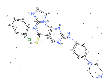 CN1CCN(c2ccc(Nc3ncc4c(=S)n(-c5ccccc5Cl)c5nccn5c4n3)cc2)CC1